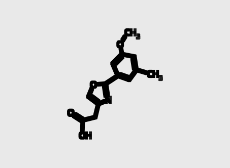 COc1cc(C)cc(-c2nc(CC(=O)O)co2)c1